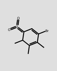 CC1=C(C)C(C)C(=S(=O)=O)C=C1Br